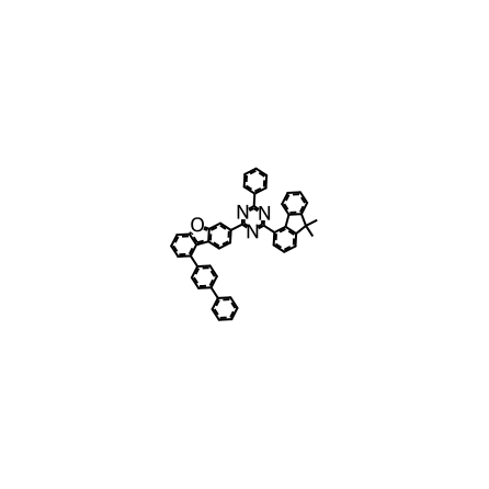 CC1(C)c2ccccc2-c2c(-c3nc(-c4ccccc4)nc(-c4ccc5c(c4)oc4cccc(-c6ccc(-c7ccccc7)cc6)c45)n3)cccc21